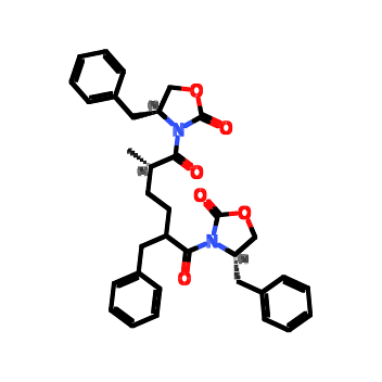 C[C@@H](CCC(Cc1ccccc1)C(=O)N1C(=O)OC[C@@H]1Cc1ccccc1)C(=O)N1C(=O)OC[C@@H]1Cc1ccccc1